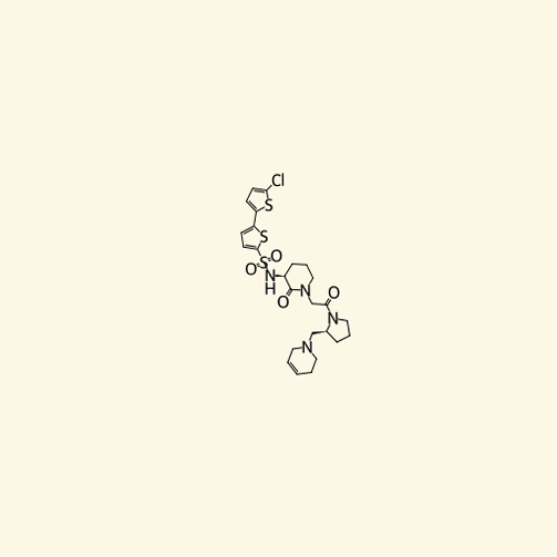 O=C1[C@@H](NS(=O)(=O)c2ccc(-c3ccc(Cl)s3)s2)CCCN1CC(=O)N1CCC[C@H]1CN1CC=CCC1